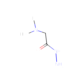 CCN(C)CC(=O)NN